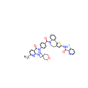 Cc1ccc(C(=O)Nc2ccc(C(=O)N3CCc4cc(NC(=O)c5ncccc5F)sc4-c4ccccc43)cc2)c(N2CC3(CCOCC3)C2)n1